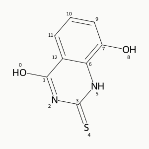 Oc1nc(=S)[nH]c2c(O)cccc12